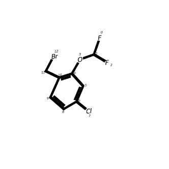 FC(F)Oc1cc(Cl)ccc1CBr